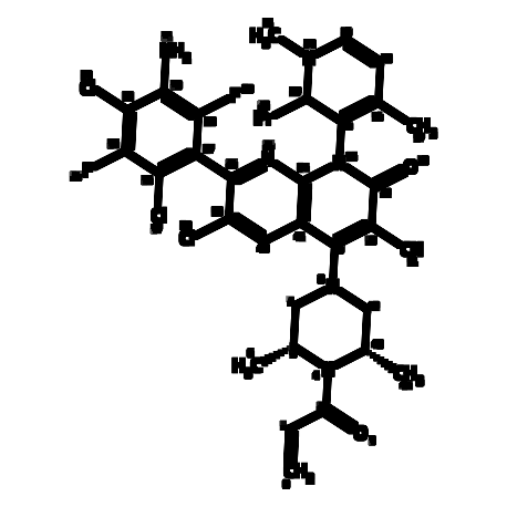 C=CC(=O)N1[C@H](C)CN(c2c(C#N)c(=O)n(C3=C(C)C=CN(C)C3C(C)C)c3nc(-c4c(F)c(N)c(Cl)c(F)c4Cl)c(Cl)cc23)C[C@@H]1C